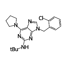 CC(C)(C)Nc1nc(N2CCCC2)c2ncn(Cc3ccccc3Cl)c2n1